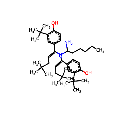 CCCCCC(N)N(C(=CCC(C)(C)C)c1ccc(O)c(C(C)(C)C)c1)C(=CCC(C)(C)C)c1ccc(O)c(C(C)(C)C)c1